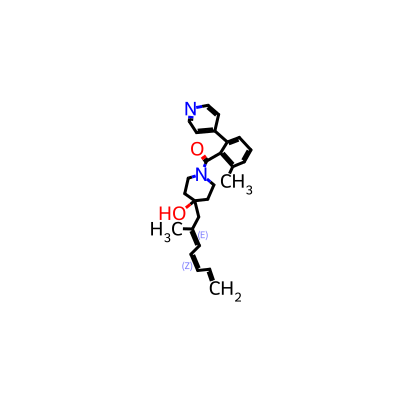 C=C/C=C\C=C(/C)CC1(O)CCN(C(=O)c2c(C)cccc2-c2ccncc2)CC1